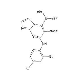 CCCN(CCC)c1c(OC)c(Nc2ccc(Cl)cc2CC)nc2nccn12